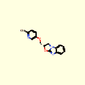 CC(C)(C)c1ccc(OC[C@@H]2Cn3c(nc4ccccc43)O2)cn1